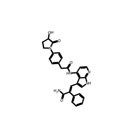 NC(=O)/C(=C/c1c[nH]c2nccc(NC(=O)Cc3ccc(N4CCC(O)C4=O)cc3)c12)c1ccccc1